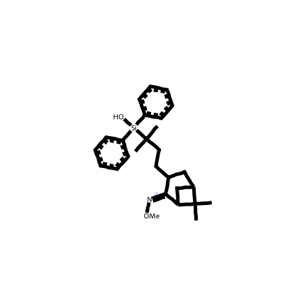 CO/N=C1/C(CCC(C)(C)[Si](O)(c2ccccc2)c2ccccc2)CC2CC1C2(C)C